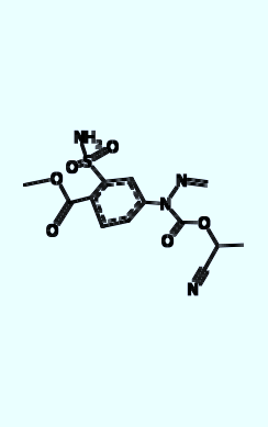 C=NN(C(=O)OC(C)C#N)c1ccc(C(=O)OC)c(S(N)(=O)=O)c1